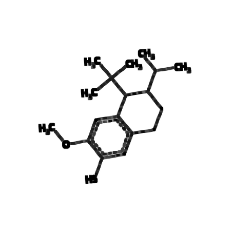 COc1cc2c(cc1S)CCC(C(C)C)C2C(C)(C)C